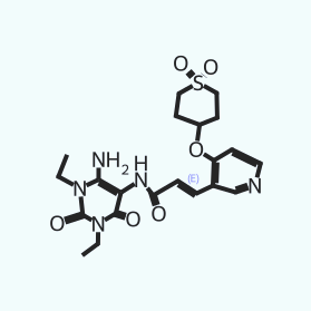 CCn1c(N)c(NC(=O)/C=C/c2cnccc2OC2CCS(=O)(=O)CC2)c(=O)n(CC)c1=O